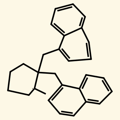 C[C]1CCCCC1(Cc1cccc2ccccc12)Cc1cccc2ccccc12